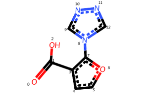 O=C(O)c1ccoc1-n1cnnc1